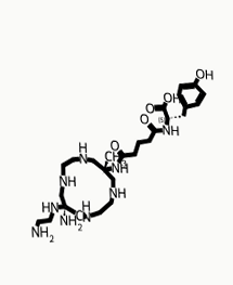 C[C@]1(NC(=O)CCCC(=O)N[C@@H](Cc2ccc(O)cc2)C(=O)O)CNCCNC[C@](N)(NCCN)CNCCNC1